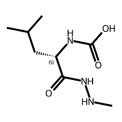 CNNC(=O)[C@H](CC(C)C)NC(=O)O